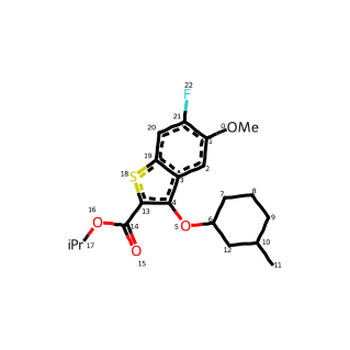 COc1cc2c(OC3CCCC(C)C3)c(C(=O)OC(C)C)sc2cc1F